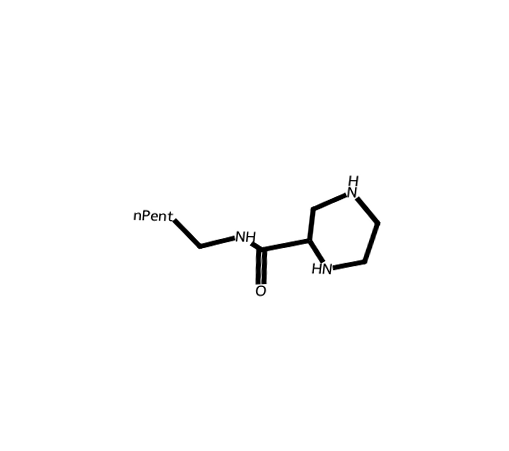 CCCCCCNC(=O)C1CNCCN1